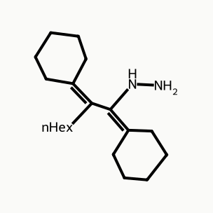 CCCCCCC(=C1CCCCC1)C(NN)=C1CCCCC1